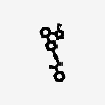 CC(C)n1cnnc1-c1cccnc1-c1ccc(C#CNC(=O)c2ccccc2)nn1